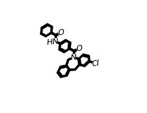 O=C(Nc1ccc(C(=O)N2Cc3ccccc3Cc3cc(Cl)ccc32)cc1)C1CC=CCC1